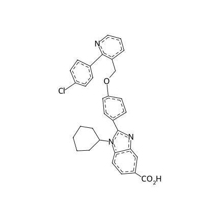 O=C(O)c1ccc2c(c1)nc(-c1ccc(OCc3cccnc3-c3ccc(Cl)cc3)cc1)n2C1CCCCC1